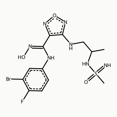 CC(CNc1nonc1/C(=N/O)Nc1ccc(F)c(Br)c1)NS(C)(=N)=O